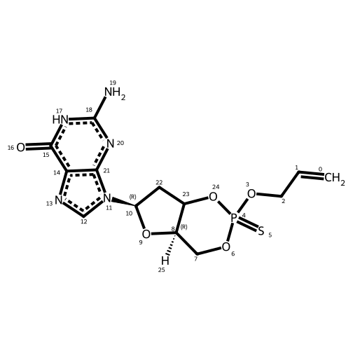 C=CCOP1(=S)OC[C@H]2O[C@@H](n3cnc4c(=O)[nH]c(N)nc43)CC2O1